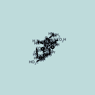 CC(C)C[C@H](NC(=O)[C@H](Cc1c[nH]c2ccccc12)NC(=O)[C@H](C)NC(=O)[C@@H](NC(=O)[C@H](Cc1ccccc1)NC(=O)[C@H](CC(=O)O)NC(=O)[C@H](CCCNC(=N)N)NC(=O)[C@H](C)NC(=O)[C@H](CCCNC(=N)N)NC(=O)[C@H](CCC(=O)O)NC(=O)[C@H](CO)NC(=O)[C@@H](N)CC(=O)O)C(C)C)C(=O)N[C@@H](CCC(=O)O)C(=O)N[C@@H](C)C(=O)NCC(=O)NCC(=O)O